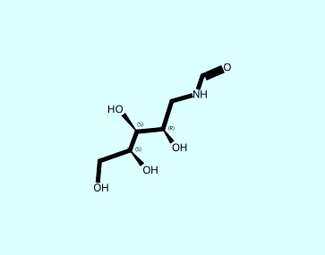 O=CNC[C@@H](O)[C@H](O)[C@@H](O)CO